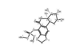 CCCCOP(=O)(OCCCC)Oc1c2c(cc3c1C(=O)N[C@@H]1C3C[C@H](O)[C@@H](O)[C@H]1O)OCO2